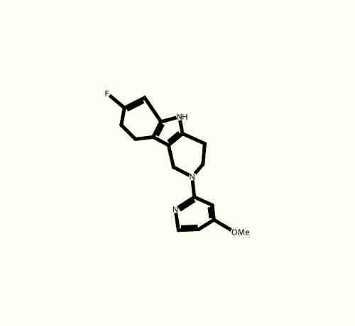 COc1ccnc(N2CCc3[nH]c4c(c3C2)CCC(F)=C4)c1